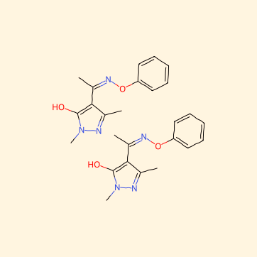 CC(=NOc1ccccc1)c1c(C)nn(C)c1O.CC(=NOc1ccccc1)c1c(C)nn(C)c1O